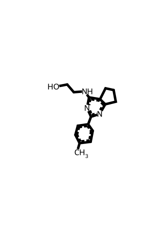 Cc1ccc(-c2nc3c(c(NCCO)n2)CCC3)cc1